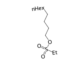 CCCCCCCCCCOS(=O)(=O)CC